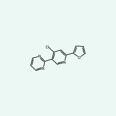 Clc1cc(-c2ccco2)ncc1-c1ncccn1